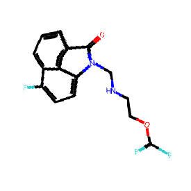 O=C1c2cccc3c(F)ccc(c23)N1CNCCOC(F)F